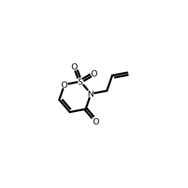 C=CCN1C(=O)C=COS1(=O)=O